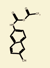 N#Cc1ccc2cc(NC(=O)OC(=O)C(F)(F)F)ccc2c1